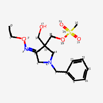 CCON=C1CN(Cc2ccccc2)CC1(CO)COS(C)(=O)=O